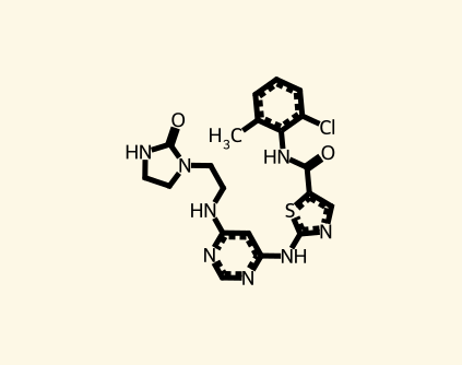 Cc1cccc(Cl)c1NC(=O)c1cnc(Nc2cc(NCCN3CCNC3=O)ncn2)s1